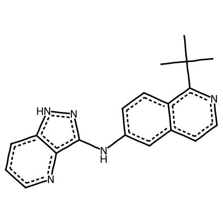 CC(C)(C)c1nccc2cc(Nc3n[nH]c4cccnc34)ccc12